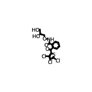 O=C(NOC[C@@H](O)CO)c1ccccc1C(=O)c1sc(Cl)c(Cl)c1Cl